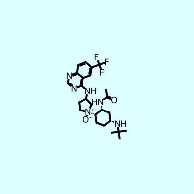 CC(=O)N[C@@H]1C[C@H](NC(C)(C)C)CC[C@@H]1[N+]1([O-])CCC(Nc2ncnc3ccc(C(F)(F)F)cc23)C1